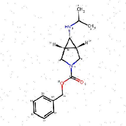 CC(C)N[C@@H]1[C@@H]2CN(C(=O)OCc3ccccc3)C[C@@H]21